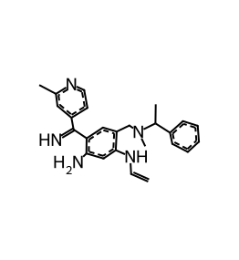 C=CNc1cc(N)c(C(=N)c2ccnc(C)c2)cc1CN(C)C(C)c1ccccc1